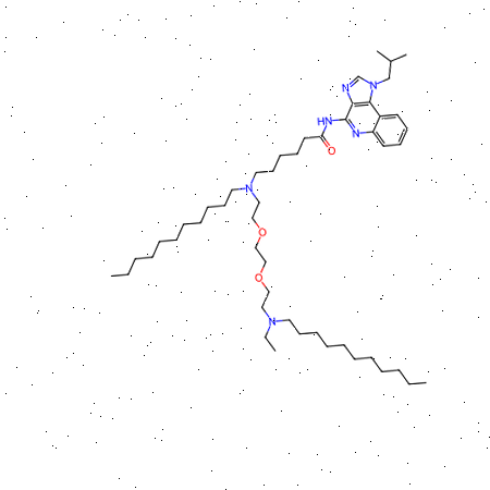 CCCCCCCCCCCN(CC)CCOCCOCCN(CCCCCCCCCCC)CCCCCC(=O)Nc1nc2ccccc2c2c1ncn2CC(C)C